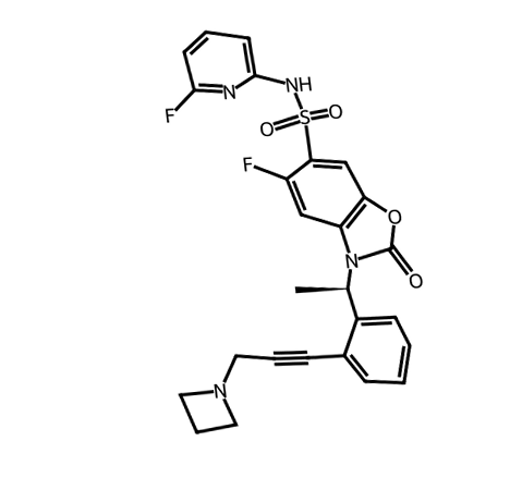 C[C@H](c1ccccc1C#CCN1CCC1)n1c(=O)oc2cc(S(=O)(=O)Nc3cccc(F)n3)c(F)cc21